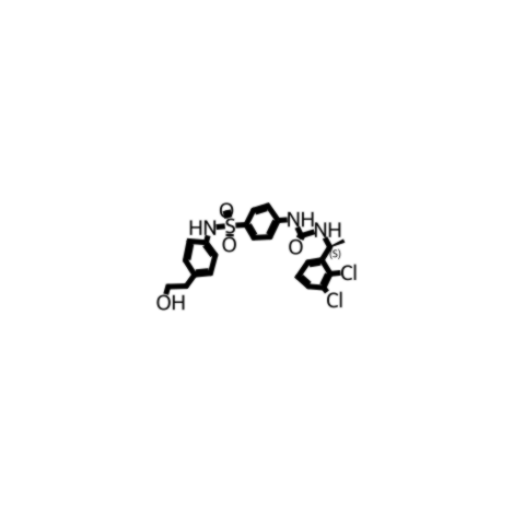 C[C@H](NC(=O)Nc1ccc(S(=O)(=O)Nc2ccc(CCO)cc2)cc1)c1cccc(Cl)c1Cl